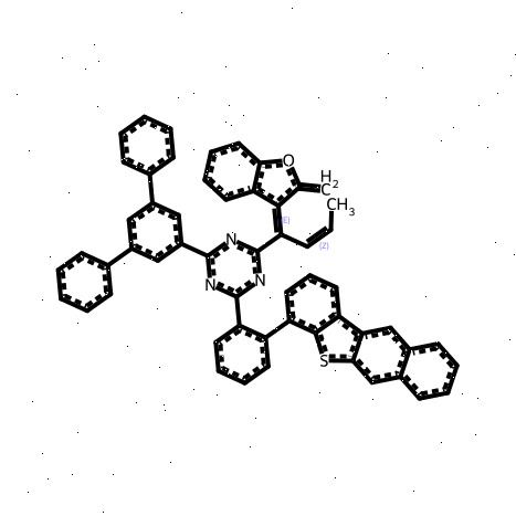 C=c1oc2ccccc2/c1=C(/C=C\C)c1nc(-c2cc(-c3ccccc3)cc(-c3ccccc3)c2)nc(-c2ccccc2-c2cccc3c2sc2cc4ccccc4cc23)n1